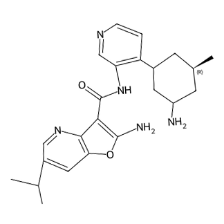 CC(C)c1cnc2c(C(=O)Nc3cnccc3C3CC(N)C[C@H](C)C3)c(N)oc2c1